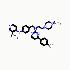 Cc1cnccc1Nc1ccc(CN(CCN2CCN(C)CC2)c2nccc(-c3ccc(C(F)(F)F)cc3)n2)cc1